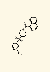 O=C(c1cccc2cccnc12)N1CCC(S(=O)(=O)c2cccc(C(F)(F)F)c2)CC1